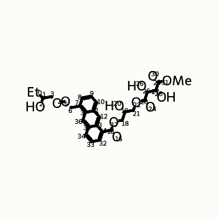 CCC(O)COOCc1cccc2cc3c(C(=O)OCC(O)COC(=O)C(O)C(O)C(=O)OC)cccc3cc12